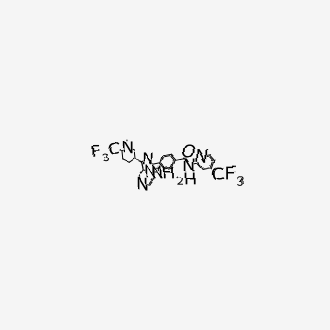 CN1C[C@@H](C2=C3C=NC=C[N+]3(N)C(c3ccc(C(=O)Nc4cc(C(F)(F)F)ccn4)cc3)=N2)CC[C@H]1C(F)(F)F